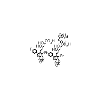 CC(C)c1nc(N(C)S(C)(=O)=O)nc(-c2ccc(F)cc2)c1C=C[C@@H](O)C[C@@H](O)CC(=O)O.CC(C)c1nc(N(C)S(C)(=O)=O)nc(-c2ccc(F)cc2)c1C=C[C@@H](O)C[C@@H](O)CC(=O)O.O=C(O)CCC(=O)O.[CaH2]